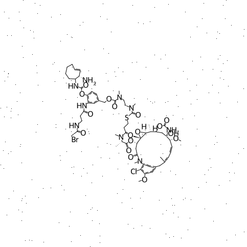 COc1cc2cc(c1Cl)N(C)C(=O)C[C@H](OC(=O)[C@H](C)N(C)C(=O)CCSC(=O)N(C)CCN(C)C(=O)OCc1ccc(OC(=O)NC3CCCC/C=C/[C@@H]3N)c(NC(=O)CCNC(=O)CBr)c1)[C@]1(C)O[C@H]1[C@H](C)[C@@H]1C[C@@](O)(NC(=O)O1)[C@H](OC)/C=C/C=C(\C)C2